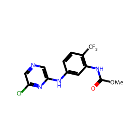 COC(=O)Nc1cc(Nc2cncc(Cl)n2)ccc1C(F)(F)F